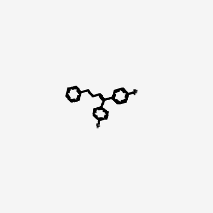 Fc1ccc(C(=CCCc2ccccc2)c2ccc(F)cc2)cc1